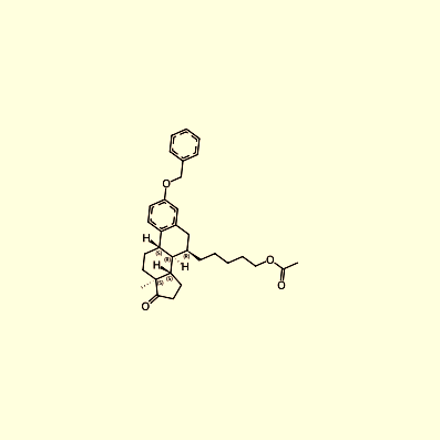 CC(=O)OCCCCC[C@@H]1Cc2cc(OCc3ccccc3)ccc2[C@H]2CC[C@]3(C)C(=O)CC[C@H]3[C@H]12